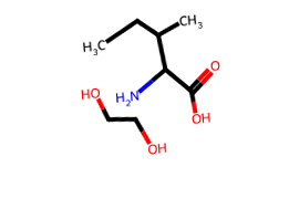 CCC(C)C(N)C(=O)O.OCCO